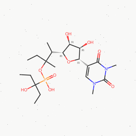 CCC(C)(OP(=O)(O)C(O)(CC)CC)C(C)[C@H]1O[C@@H](c2cn(C)c(=O)n(C)c2=O)[C@H](O)[C@@H]1O